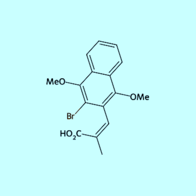 COc1c(Br)c(/C=C(/C)C(=O)O)c(OC)c2ccccc12